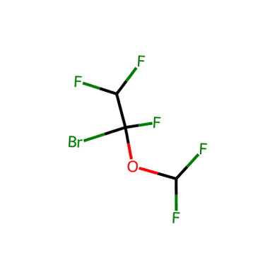 FC(F)OC(F)(Br)C(F)F